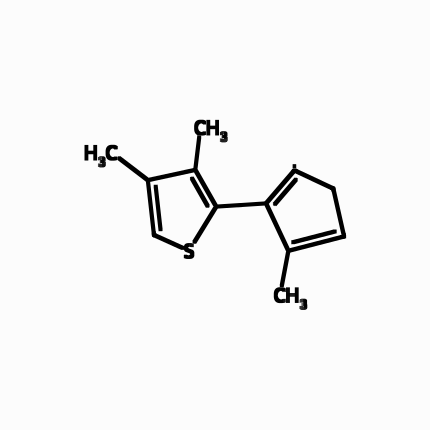 CC1=CC[C]=C1c1scc(C)c1C